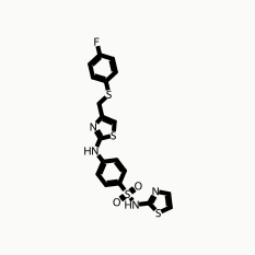 O=S(=O)(Nc1nccs1)c1ccc(Nc2nc(CSc3ccc(F)cc3)cs2)cc1